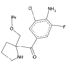 CC(C)OCC1(C(=O)c2cc(F)c(N)c(Cl)c2)CCCN1